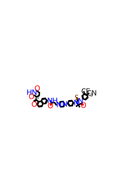 CC1(C)C(=O)N(c2ccc(C#N)c(C(F)(F)F)c2)C(=S)N1c1ccc(N2CCN(CCC(=O)Nc3ccc4c(ccc5occ([C@@H]6CCC(=O)NC6=O)c54)c3)CC2)cc1